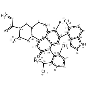 C=CC(=O)N1CC2CNc3c(F)c(-c4c(C)ccc5[nH]ncc45)cc4c3c(nc(=O)n4-c3c(C)ccnc3C(C)C)N2CC1C